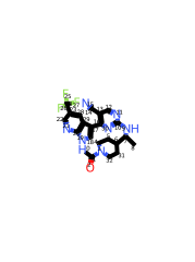 CC(=O)N1CCC(C(C)Nc2ncc(C#N)c(-c3c[nH]c4ncc(C(F)(F)F)cc34)n2)CC1